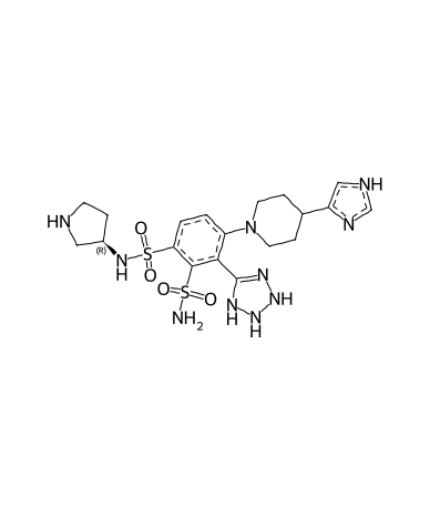 NS(=O)(=O)c1c(S(=O)(=O)N[C@@H]2CCNC2)ccc(N2CCC(c3c[nH]cn3)CC2)c1C1=NNNN1